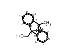 CCC12NC(C)(c3ccccc31)c1ccccc12